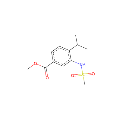 COC(=O)c1ccc(C(C)C)c(NS(C)(=O)=O)c1